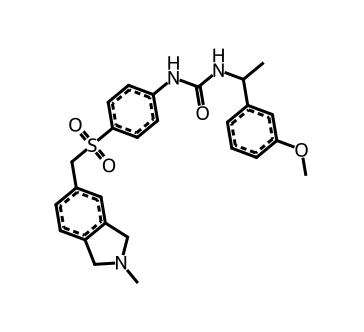 COc1cccc(C(C)NC(=O)Nc2ccc(S(=O)(=O)Cc3ccc4c(c3)CN(C)C4)cc2)c1